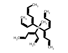 C=C/C=C\C(=C/C=C)S(C)(/C(C=C)=C/C=C)C(/C=C\C)=C/C=C\C